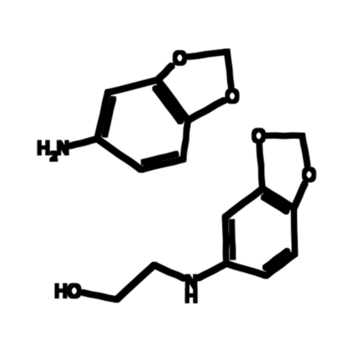 Nc1ccc2c(c1)OCO2.OCCNc1ccc2c(c1)OCO2